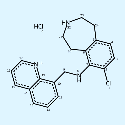 Cl.Clc1ccc2c(c1NCc1cccc3cccnc13)CCNCC2